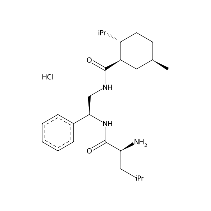 CC(C)C[C@H](N)C(=O)N[C@H](CNC(=O)[C@@H]1C[C@H](C)CC[C@H]1C(C)C)c1ccccc1.Cl